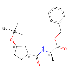 C[C@@H](NC(=O)[C@@H]1CC[C@@H](O[Si](C)(C)C(C)(C)C)C1)C(=O)OCc1ccccc1